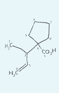 C=CC(C)C1(C(=O)O)CCCC1